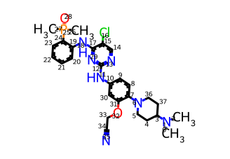 CN(C)C1CCN(c2ccc(Nc3ncc(Cl)c(Nc4ccccc4P(C)(C)=O)n3)cc2OCC#N)CC1